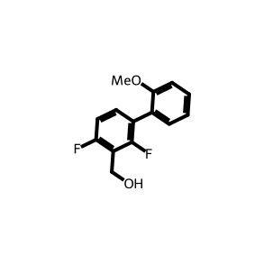 COc1ccccc1-c1ccc(F)c(CO)c1F